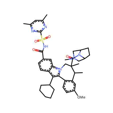 COc1ccc2c(c1)C(C)C(C)(C(=O)N1C3CCC1CN(C)C3)Cn1c-2c(C2CCCCC2)c2ccc(C(=O)NS(=O)(=O)c3nc(C)cc(C)n3)cc21